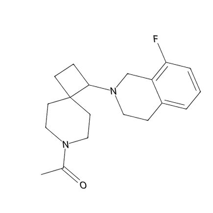 CC(=O)N1CCC2(CCC2N2CCc3cccc(F)c3C2)CC1